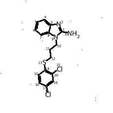 Nc1nc2ccccc2n1CCCSc1ccc(Cl)cc1Cl